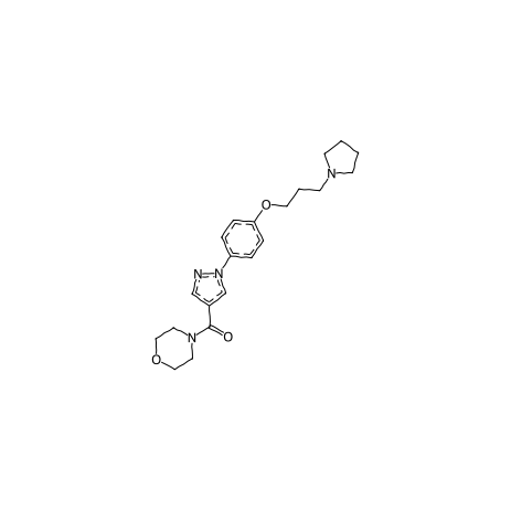 O=C(c1cnn(-c2ccc(OCCCN3CCCC3)cc2)c1)N1CCOCC1